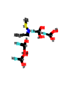 CCS/N=C\C(=O)O.OB(O)F.OB(O)F.OB(O)F.OB(O)F